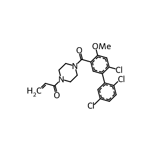 C=CC(=O)N1CCN(C(=O)c2cc(-c3cc(Cl)ccc3Cl)c(Cl)cc2OC)CC1